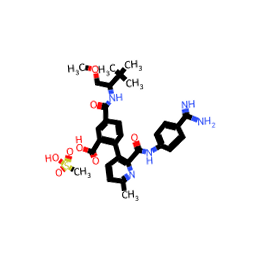 COCC(NC(=O)c1ccc(-c2ccc(C)nc2C(=O)Nc2ccc(C(=N)N)cc2)c(C(=O)O)c1)C(C)(C)C.CS(=O)(=O)O